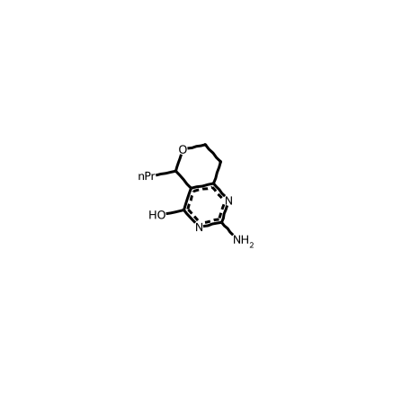 CCCC1OCCc2nc(N)nc(O)c21